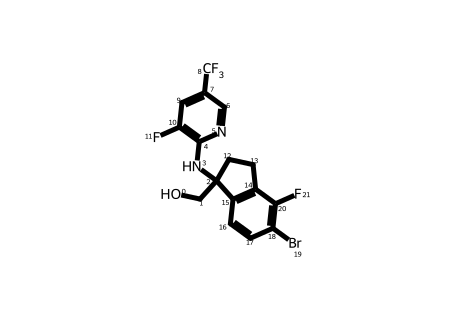 OCC1(Nc2ncc(C(F)(F)F)cc2F)CCc2c1ccc(Br)c2F